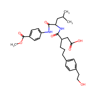 COC(=O)c1ccc(NC(=O)C(CC(C)C)NC(=O)C(CCCc2ccc(CCO)cc2)CC(=O)O)cc1